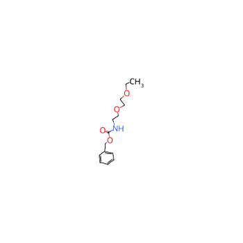 CCOCCOCCNC(=O)OCc1ccccc1